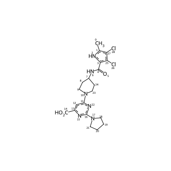 Cc1[nH]c(C(=O)NC2CCN(c3cc(C(=O)O)nc(N4CCCC4)n3)CC2)c(Cl)c1Cl